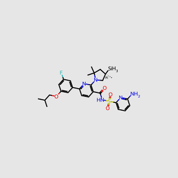 CC(C)COc1cc(F)cc(-c2ccc(C(=O)NS(=O)(=O)c3cccc(N)n3)c(N3C[C@](C)([SiH3])CC3(C)C)n2)c1